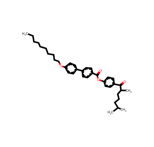 CCCCCCCCCCOc1ccc(-c2ccc(C(=O)Oc3ccc(C(=O)C(C)CCCC(C)C)cc3)cc2)cc1